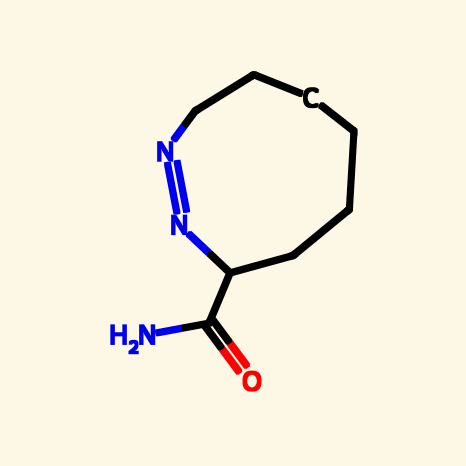 NC(=O)C1CCCCCCN=N1